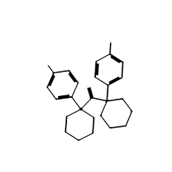 O=C(C1(c2ccc(O)cc2)CCCCC1)C1(c2ccc(O)cc2)CCCCC1